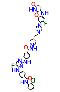 O=C1CCC(Nc2ccc(N3CCN(CCC4CCN(NC(=O)c5ccc(Nc6ncc(F)c(Nc7ccc(C(=O)Nc8ccccc8Cl)cc7)n6)cc5)CC4)CC3)c(F)c2)C(=O)N1